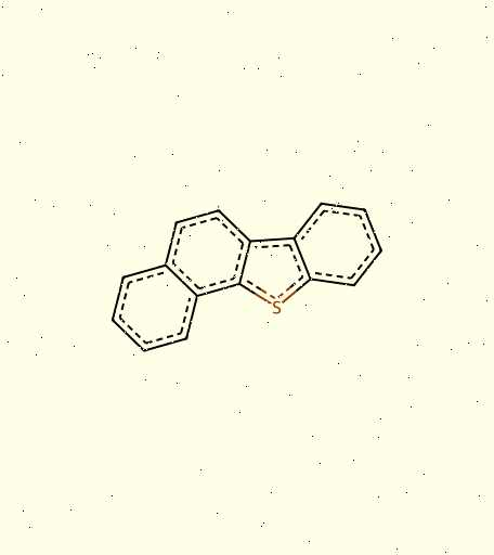 [c]1cc2ccccc2c2sc3ccccc3c12